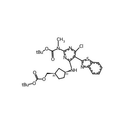 CN(C(=O)OC(C)(C)C)c1nc(Cl)c(-c2nc3ccccc3s2)c(N[C@H]2CC[C@@H](COC(=O)OC(C)(C)C)C2)n1